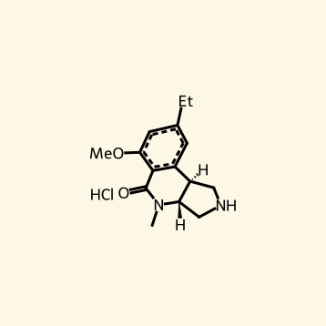 CCc1cc(OC)c2c(c1)[C@H]1CNC[C@@H]1N(C)C2=O.Cl